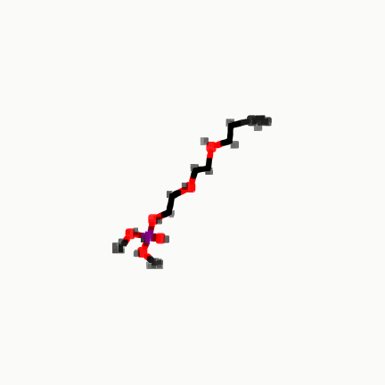 CCOP(=O)(OCC)OCCOCCOCCOC